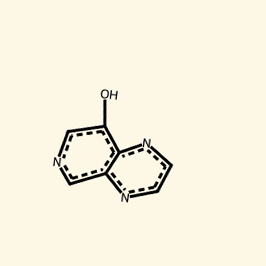 Oc1cncc2nccnc12